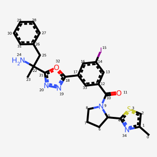 Cc1csc(C2CCCN2C(=O)c2cc(I)cc(-c3nnc(C(C)(N)Cc4ccccc4)o3)c2)n1